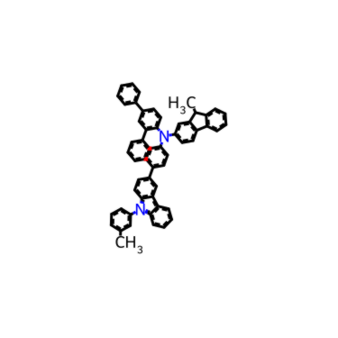 Cc1cccc(-n2c3ccccc3c3cc(-c4ccc(N(c5ccc6c(c5)C(C)c5ccccc5-6)c5ccc(-c6ccccc6)cc5-c5ccccc5)cc4)ccc32)c1